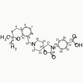 CC1(C)CCc2cccc(CN3CCC4(CC3)CN(c3ccc(C(=O)O)cc3)C(=O)O4)c2O1